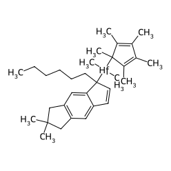 CCCCCC[C]1([Hf]([CH3])([CH3])[C]2(C)C(C)=C(C)C(C)=C2C)C=Cc2cc3c(cc21)CC(C)(C)C3